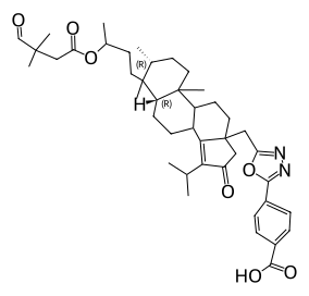 CC(CCC1(C)[C@H](C)CCC2(C)C3CCC4(Cc5nnc(-c6ccc(C(=O)O)cc6)o5)CC(=O)C(C(C)C)=C4C3CC[C@@H]21)OC(=O)CC(C)(C)C=O